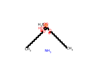 CCCCCCCCCCCCCCCCCC(=O)OCCC(CCO)(CCOC(=O)CCCCCCCCCCCCCCCCC)OS(=O)(=O)OC.N